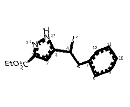 CCOC(=O)c1cc(C(I)Cc2ccccc2)[nH]n1